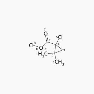 CC1(C)CC1(Cl)C(=O)OCl